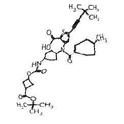 CC(C)(C)C#Cc1cc(N(C(=O)[C@H]2CC[C@H](C)CC2)C2CCC(NC(=O)OC3CC(C(=O)OC(C)(C)C)C3)CC2)c(C(=O)O)s1